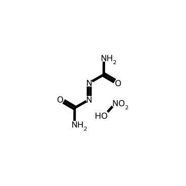 NC(=O)N=NC(N)=O.O=[N+]([O-])O